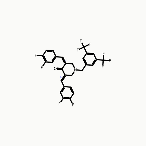 O=C1/C(=C\c2ccc(F)c(F)c2)CN(Cc2cc(C(F)(F)F)cc(C(F)(F)F)c2)C/C1=C\c1ccc(F)c(F)c1